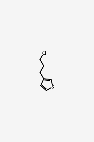 ClCCCc1ccsc1